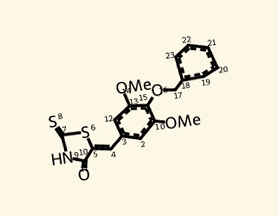 COc1cc(/C=C2\SC(=S)NC2=O)cc(OC)c1OCc1ccccc1